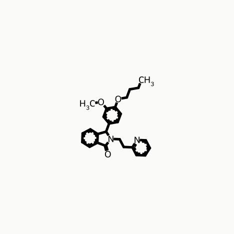 CCCCOc1ccc(C2c3ccccc3C(=O)N2CCc2ccccn2)cc1OC